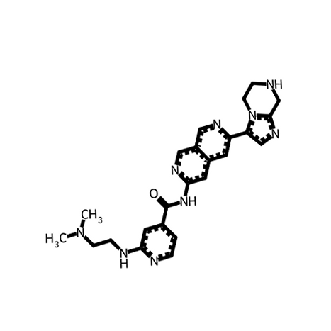 CN(C)CCNc1cc(C(=O)Nc2cc3cc(-c4cnc5n4CCNC5)ncc3cn2)ccn1